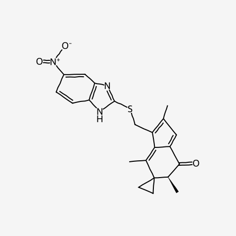 CC1=C(CSc2nc3cc([N+](=O)[O-])ccc3[nH]2)C2=C(C)C3(CC3)[C@H](C)C(=O)C2=C1